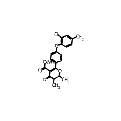 COC(=O)C1=C(c2ccc(Oc3ccc(C(F)(F)F)cc3Cl)cc2)OC(C)C(C)C1=O